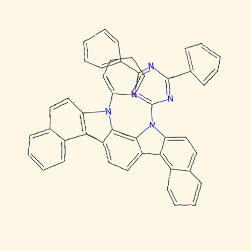 C1=CC(n2c3ccc4ccccc4c3c3ccc4c5c6ccccc6ccc5n(-c5nc(-c6ccccc6)nc(-c6ccccc6)n5)c4c32)=CCC1